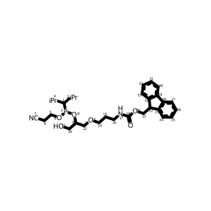 CC(C)C(C(C)C)P(OCCC#N)OC(CO)COCCCNC(=O)OCC1c2ccccc2-c2ccccc21